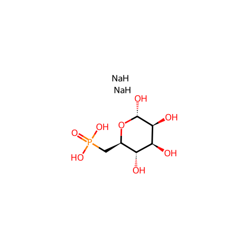 O=P(O)(O)C[C@H]1O[C@H](O)[C@@H](O)[C@@H](O)[C@@H]1O.[NaH].[NaH]